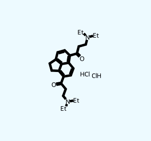 CCN(CC)CCC(=O)c1ccc2c(C(=O)CCN(CC)CC)ccc3c2c1CC3.Cl.Cl